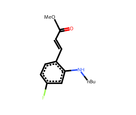 CCCCNc1cc(F)ccc1C=CC(=O)OC